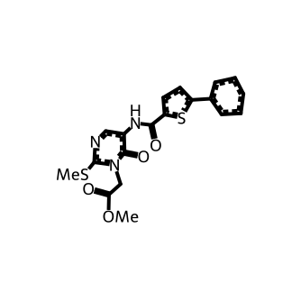 COC(=O)Cn1c(SC)ncc(NC(=O)c2ccc(-c3ccccc3)s2)c1=O